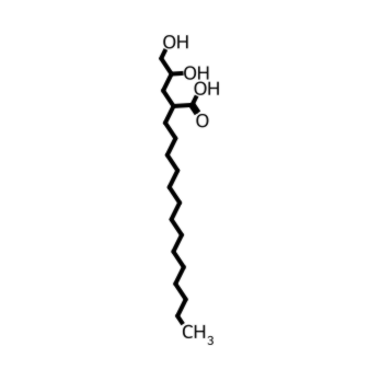 CCCCCCCCCCCCCCC(CC(O)CO)C(=O)O